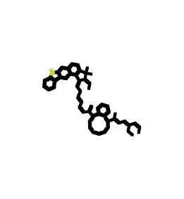 C=C(/C=C\C=C\C/C=C1\C(=C/C)C(C)(C)c2ccc3cc4sc5ccccc5c4cc3c21)c1ccccccc(/C(C)=C/C=C(/C=C\C)CC)c2ccccc12